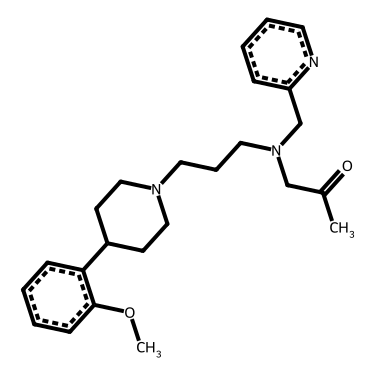 COc1ccccc1C1CCN(CCCN(CC(C)=O)Cc2ccccn2)CC1